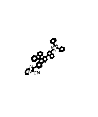 N#Cc1c(-c2ccc3c(c2)C(c2ccccc2)(c2ccccc2)c2cc(-c4ccc(-c5nc(-c6ccccc6)nc(-c6ccccc6)n5)c5ccccc45)ccc2-3)nc2ccccn12